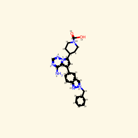 Nc1ncnn2c(C3CCN(C(=O)O)CC3)cc(-c3ccc4nn(Cc5ccccc5)cc4c3)c12